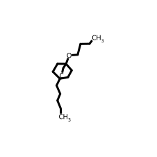 CCCCCC12CCC(OCCCC)(CC1)CC2